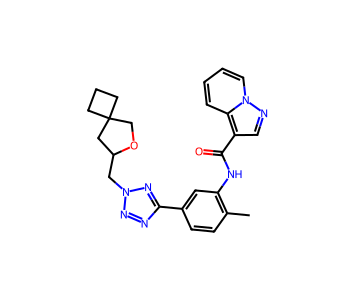 Cc1ccc(-c2nnn(CC3CC4(CCC4)CO3)n2)cc1NC(=O)c1cnn2ccccc12